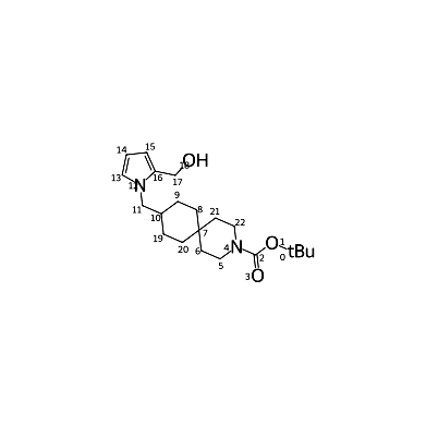 CC(C)(C)OC(=O)N1CCC2(CCC(Cn3cccc3CO)CC2)CC1